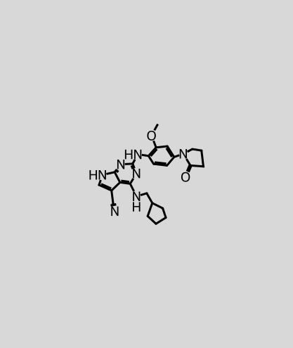 COc1cc(N2CCCC2=O)ccc1Nc1nc(NCC2CCCC2)c2c(C#N)c[nH]c2n1